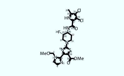 COCn1ccnc1-c1nc(N2CC[C@@H](NC(=O)c3[nH]c(C)c(Cl)c3Cl)[C@@H](F)C2)sc1C(=O)OC